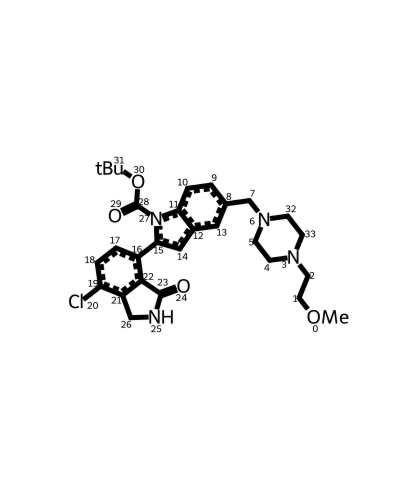 COCCN1CCN(Cc2ccc3c(c2)cc(-c2ccc(Cl)c4c2C(=O)NC4)n3C(=O)OC(C)(C)C)CC1